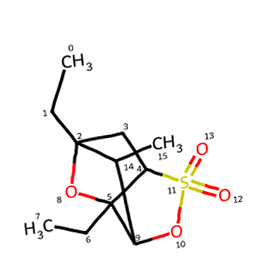 CCC12CC3C(CC)(O1)C(OS3(=O)=O)C2C